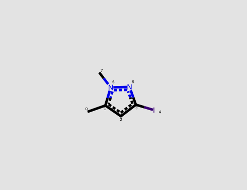 Cc1cc(I)nn1C